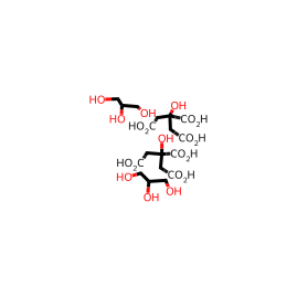 O=C(O)CC(O)(CC(=O)O)C(=O)O.O=C(O)CC(O)(CC(=O)O)C(=O)O.OCC(O)CO.OCC(O)CO